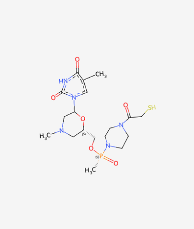 Cc1cn(C2CN(C)C[C@@H](CO[P@](C)(=O)N3CCN(C(=O)CS)CC3)O2)c(=O)[nH]c1=O